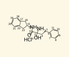 Cl.NC(O)(CCc1ccccc1)C(=O)NC1Cc2ccccc2C1